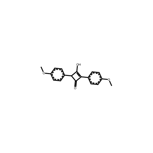 COc1ccc(C2=C(O)C(c3ccc(OC)cc3)C2=O)cc1